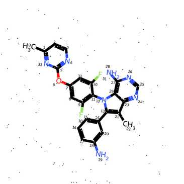 Cc1ccnc(Oc2cc(F)c(-n3c(-c4cccc(N)c4)c(C)c4ncnc(N)c43)c(F)c2)n1